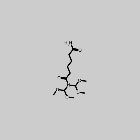 COC(OC)N(C(=O)CCCCC(N)=O)C(OC)OC